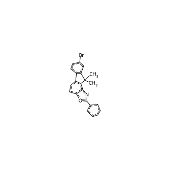 CC1(C)c2cc(Br)ccc2-c2ccc3oc(-c4ccccc4)nc3c21